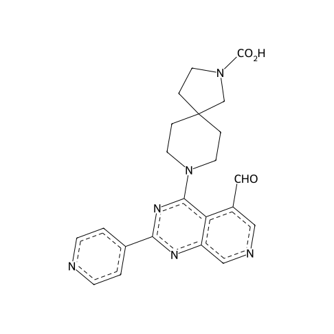 O=Cc1cncc2nc(-c3ccncc3)nc(N3CCC4(CCN(C(=O)O)C4)CC3)c12